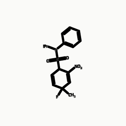 CC(C)N(c1ccccc1)S(=O)(=O)C1C=CC(C)(F)C=C1[N+](=O)[O-]